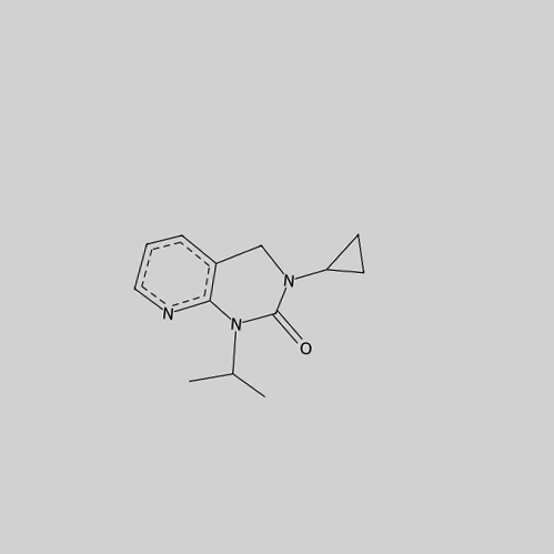 CC(C)N1C(=O)N(C2CC2)Cc2cccnc21